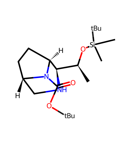 C[C@H](O[Si](C)(C)C(C)(C)C)[C@H]1NC[C@@H]2CC[C@@H]1N2C(=O)OC(C)(C)C